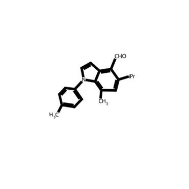 Cc1ccc(-n2ccc3c(C=O)c(C(C)C)cc(C)c32)cc1